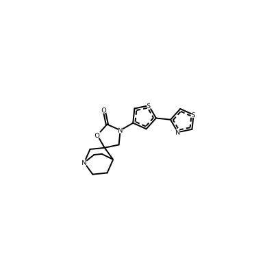 O=C1OC2(CN3CCC2CC3)CN1c1csc(-c2cscn2)c1